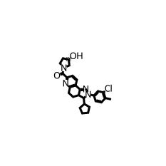 Cc1ccc(N2N=C3c4ccc(C(=O)N5CC[C@@H](O)C5)nc4CCC3C2C2CCCC2)cc1Cl